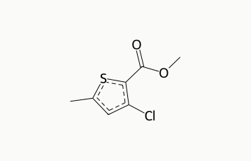 COC(=O)c1sc(C)cc1Cl